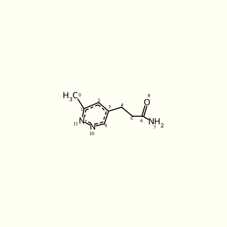 Cc1cc(CCC(N)=O)cnn1